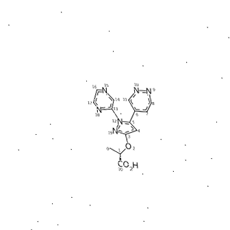 C[C@@H](Oc1cc(-c2ccnnc2)n(-c2cnccn2)n1)C(=O)O